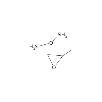 CC1CO1.[SiH3]O[SiH3]